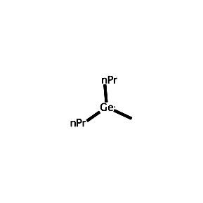 CC[CH2][Ge]([CH3])[CH2]CC